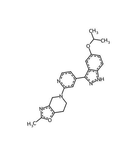 Cc1nc2c(o1)CCN(c1cc(-c3n[nH]c4ccc(OC(C)C)cc34)ccn1)C2